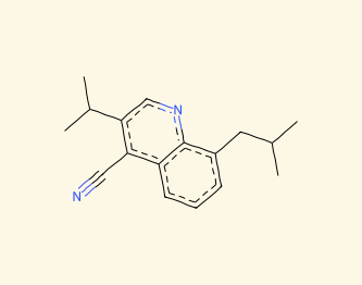 CC(C)Cc1cccc2c(C#N)c(C(C)C)cnc12